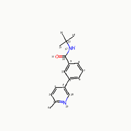 Cc1ccc(-c2cccc(C(=O)NC(C)(C)C)c2)cn1